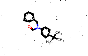 CC(C)(C)c1ccc(N([C]=O)Cc2ccccc2)cc1